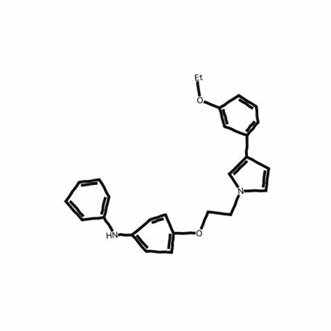 CCOc1cccc(-c2ccn(CCOc3ccc(Nc4ccccc4)cc3)c2)c1